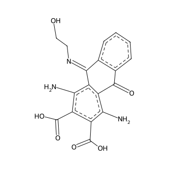 Nc1c(C(=O)O)c(C(=O)O)c(N)c2c1C(=O)c1ccccc1C2=NCCO